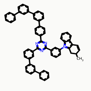 CC1C=Cc2c(n(-c3cccc(-c4nc(-c5ccc(-c6cccc(-c7cccc(-c8ccccc8)c7)c6)cc5)nc(-c5cccc(-c6cccc(-c7ccccc7)c6)c5)n4)c3)c3ccccc23)C1